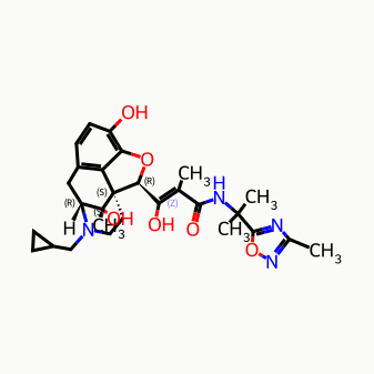 C/C(C(=O)NC(C)(C)c1nc(C)no1)=C(/O)[C@@H]1Oc2c(O)ccc3c2[C@@]12CCN(CC1CC1)[C@H](C3)[C@@]2(C)O